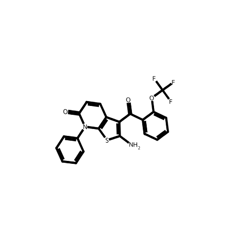 Nc1sc2c(ccc(=O)n2-c2ccccc2)c1C(=O)c1ccccc1OC(F)(F)F